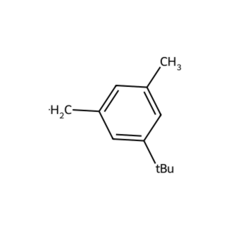 [CH2]c1cc(C)cc(C(C)(C)C)c1